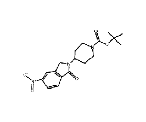 CC(C)(C)OC(=O)N1CCC(N2Cc3cc([N+](=O)[O-])ccc3C2=O)CC1